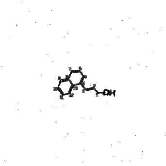 OC/C=C/c1cccc2ccccc12